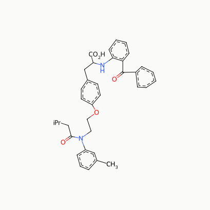 Cc1cccc(N(CCOc2ccc(CC(Nc3ccccc3C(=O)c3ccccc3)C(=O)O)cc2)C(=O)CC(C)C)c1